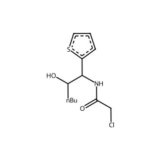 CCCCC(O)C(NC(=O)CCl)c1cccs1